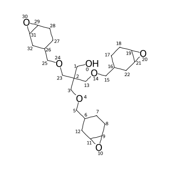 OCC(COCC1CCC2OC2C1)(COCC1CCC2OC2C1)COCC1CCC2OC2C1